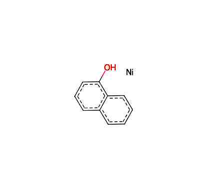 Oc1cccc2ccccc12.[Ni]